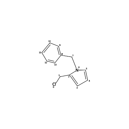 ClCc1cccn1Cc1ccccc1